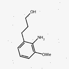 COc1cccc(CCCO)c1N